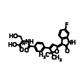 CC1(C)OC(=C2C(=O)Nc3cc(F)ccc32)C=C1c1ccc(C(=O)N[C@H](CO)C(=O)O)cc1